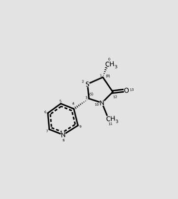 C[C@H]1S[C@@H](c2cccnc2)N(C)C1=O